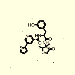 CC1OCC(=O)C1(C)NC(=O)C(Cc1cccc(O)c1)NC(=O)c1cncc(-c2cccs2)c1